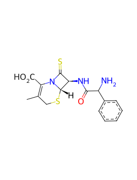 CC1=C(C(=O)O)N2C(=S)[C@@H](NC(=O)C(N)c3ccccc3)[C@@H]2SC1